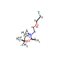 C=C(OC(C)(C)C)N(C)CCOCCF